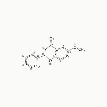 COc1ccc2c(c1)C(=O)CC(c1ccncc1)O2